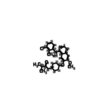 COc1cc2ncnc(Nc3cccc(Cl)c3C)c2cc1OC1CCN(CC(=O)C(C)C)CC1